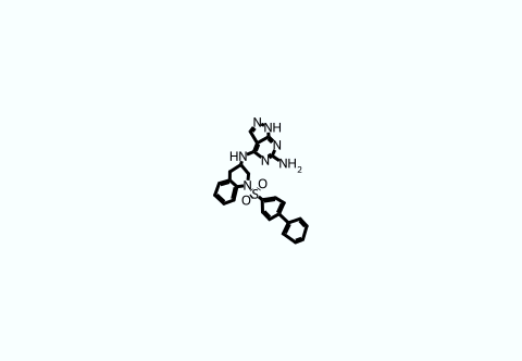 Nc1nc(NC2Cc3ccccc3N(S(=O)(=O)c3ccc(-c4ccccc4)cc3)C2)c2cn[nH]c2n1